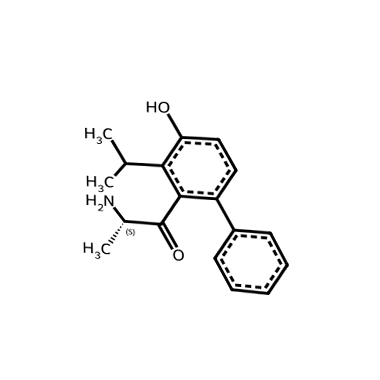 CC(C)c1c(O)ccc(-c2ccccc2)c1C(=O)[C@H](C)N